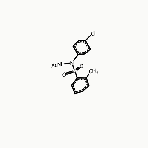 CC(=O)NN(c1ccc(Cl)cc1)S(=O)(=O)c1ccccc1C